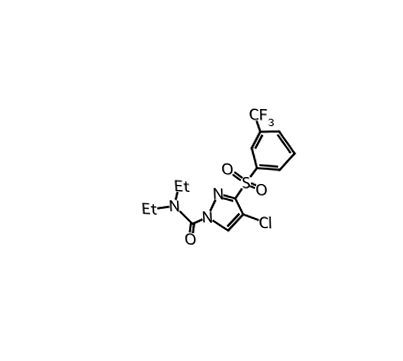 CCN(CC)C(=O)n1cc(Cl)c(S(=O)(=O)c2cccc(C(F)(F)F)c2)n1